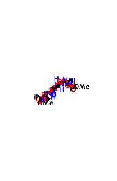 COC(=O)NC(C(=O)N1CCCC1c1ncc(-c2cc3cc4[nH]c(C(=O)Nc5cnc(C6CCCN6C(=O)[C@@H](NC(=O)OC)C(C)C)[nH]5)cc4cc3[nH]2)[nH]1)C(C)C